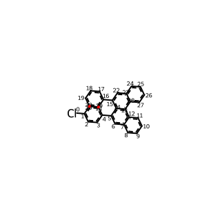 Clc1ccc(-c2cc3ccccc3c3c2c(-c2ccccc2)cc2ccccc23)cc1